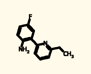 CCc1cccc(-c2cc(F)ccc2N)n1